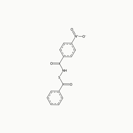 O=C(NSC(=O)c1ccccc1)c1ccc([N+](=O)[O-])cc1